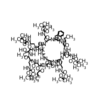 CCCC(=O)OC(C)CC(=O)N[C@@H](CCNC(=O)OC(C)(C)C)C(=O)N[C@H](C(=O)N[C@@H](CCNC(=O)OC(C)(C)C)C(=O)N[C@H]1CCNC(=O)[C@H]([C@H](C)O)NC(=O)[C@H](CCCNC(=O)OC(C)(C)C)NC(=O)[C@H](CCNC(=O)OC(C)(C)C)NC(=O)[C@H](CC(C)C)NC(=O)[C@@H](Cc2ccccc2)NC(=O)[C@H](CCNC(=O)OC(C)(C)C)NC1)C(C)O